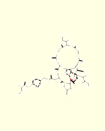 CCC(C)C1NC(=O)CNC(=O)C2Cc3c([nH]c4ccccc34)SC(NC(=O)CNC1=O)C(=O)NC(CC(=O)NCc1ccc(NC(=O)[C@H](C)NC)cc1)C(=O)N1CC(O)CC1C(=O)NC(C(C)C(O)CO)C(=O)N2